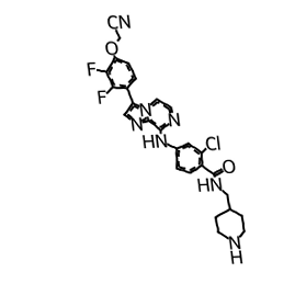 N#CCOc1ccc(-c2cnc3c(Nc4ccc(C(=O)NCC5CCNCC5)c(Cl)c4)nccn23)c(F)c1F